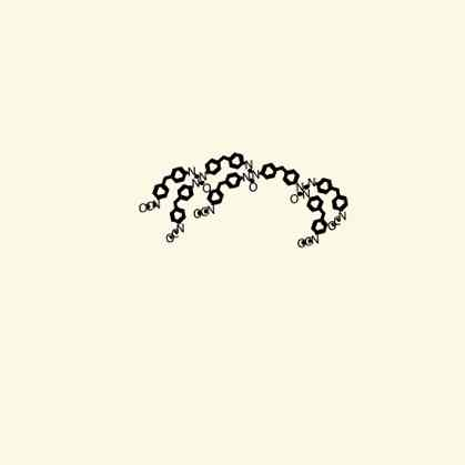 O=C=Nc1ccc(Cc2ccc(N=C3N(c4ccc(Cc5ccc(N=C=O)cc5)cc4)C(=O)N3c3ccc(Cc4ccc(N=C5N(c6ccc(Cc7ccc(N=C=O)cc7)cc6)C(=O)N5c5ccc(Cc6ccc(N7C(=O)N(c8ccc(Cc9ccc(N=C=O)cc9)cc8)C7=Nc7ccc(Cc8ccc(N=C=O)cc8)cc7)cc6)cc5)cc4)cc3)cc2)cc1